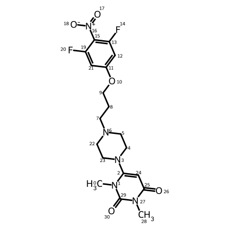 Cn1c(N2CCN(CCCOc3cc(F)c([N+](=O)[O-])c(F)c3)CC2)cc(=O)n(C)c1=O